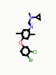 Cc1cc(Oc2ccc(Br)c(Cl)c2)c(C)cc1/N=C/N(C)C1CC1